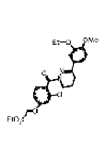 CCOC(=O)COc1ccc(C(=O)N2CCCC(c3ccc(OC)c(OCC)c3)=N2)c(Cl)c1